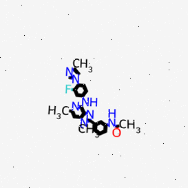 CC(=O)Nc1cccc(-c2nc3c(Nc4ccc(-n5cnc(C)c5)c(F)c4)nc(C)cc3n2C)c1